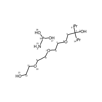 CC(C)C(O)(COCCOCCOCCO)C(C)C.NP(O)O